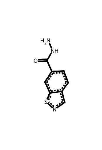 NNC(=O)c1ccc2cnsc2c1